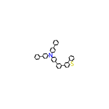 c1ccc(-c2ccc(N(c3ccc(-c4ccccc4)cc3)c3ccc(-c4cccc(-c5ccc6sc7ccccc7c6c5)c4)cc3)cc2)cc1